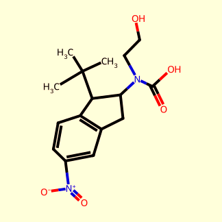 CC(C)(C)C1c2ccc([N+](=O)[O-])cc2CC1N(CCO)C(=O)O